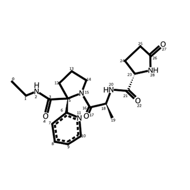 CCNC(=O)[C@]1(c2ccccn2)CCCN1C(=O)[C@H](C)NC(=O)[C@@H]1CCC(=O)N1